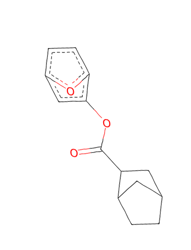 O=C(Oc1cc2ccc1o2)C1CC2CCC1C2